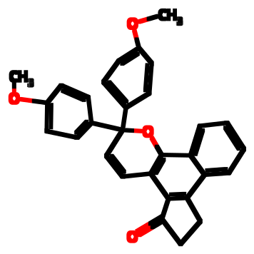 COc1ccc(C2(c3ccc(OC)cc3)C=Cc3c4c(c5ccccc5c3O2)CCC4=O)cc1